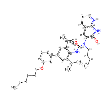 CCCCCCOc1cccc(-c2cc(C(C)C)c(NC(=O)N(CCCC)c3cc4cccnc4[nH]c3=O)c(C(C)C)c2)c1